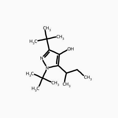 CCC(C)c1c(O)c(C(C)(C)C)nn1C(C)(C)C